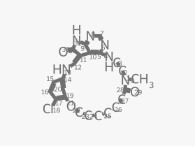 CN1CCNc2ncnc3c2/C(=C/Nc2ccc(Cl)c(c2)OCCCCCCC1=O)C(=O)N3